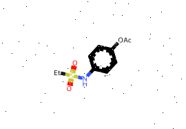 CCS(=O)(=O)Nc1ccc(OC(C)=O)cc1